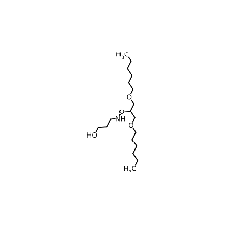 CCCCCCOCC(COCCCCCC)ONCCCO